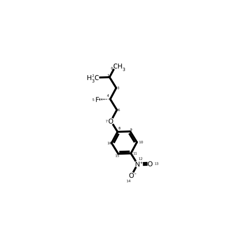 CC(C)C[C@@H](F)COc1ccc([N+](=O)[O-])cc1